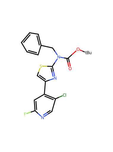 CC(C)(C)OC(=O)N(Cc1ccccc1)c1nc(-c2cc(F)ncc2Cl)cs1